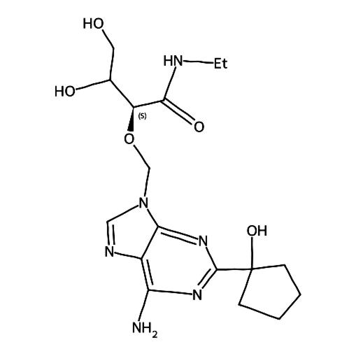 CCNC(=O)[C@@H](OCn1cnc2c(N)nc(C3(O)CCCC3)nc21)C(O)CO